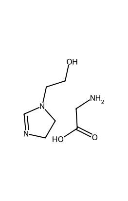 NCC(=O)O.OCCN1C=NCC1